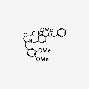 COc1ccc(C[C@H]2COC(C=O)N2Cc2ccc(OCc3ccccc3)c(OC)c2)cc1OC